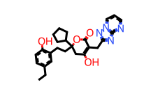 CCc1ccc(O)c(CCC2(C3CCCC3)CC(O)=C(Cc3nc4ncccn4n3)C(=O)O2)c1